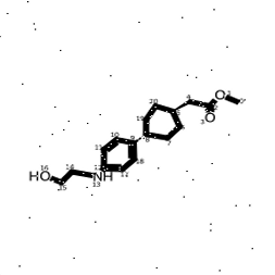 COC(=O)C[C@H]1CC[C@H](c2ccc(NCCO)cc2)CC1